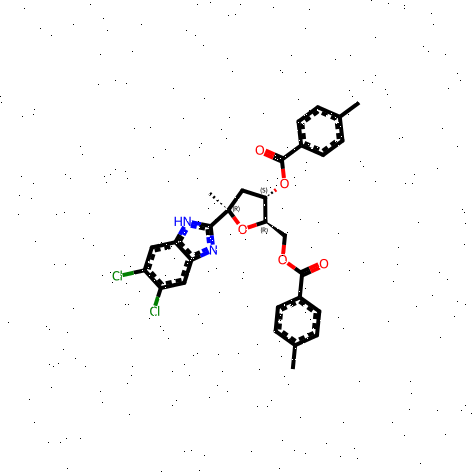 Cc1ccc(C(=O)OC[C@H]2O[C@@](C)(c3nc4cc(Cl)c(Cl)cc4[nH]3)C[C@@H]2OC(=O)c2ccc(C)cc2)cc1